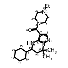 CCN1CCN(C(=O)c2cnn3c2NC(C2CCCCC2)CC3(C)C)CC1